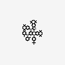 Cc1ccccc1N(c1cc2c3c(c1)N(c1ccc4c(c1)C(C)(C)CCC4(C)C)c1c(sc4cc5c(cc14)C(C)(C)CCC5(C)C)B3c1cc3c(cc1N2c1ccc(C(C)(C)C)cc1)C(C)(C)CCC3(C)C)c1ccccc1C